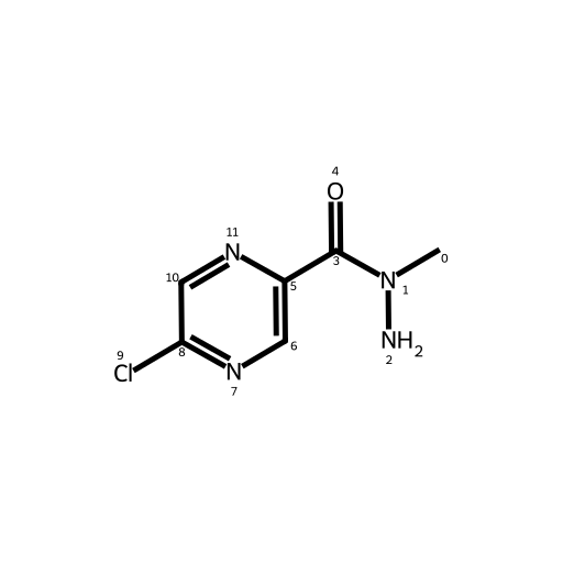 CN(N)C(=O)c1cnc(Cl)cn1